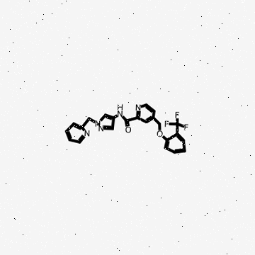 O=C(Nc1cnn(Cc2ccccn2)c1)c1cc(COc2ccccc2C(F)(F)F)ccn1